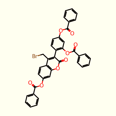 O=C(Oc1ccc(-c2c(CBr)c3ccc(OC(=O)c4ccccc4)cc3oc2=O)c(OC(=O)c2ccccc2)c1)c1ccccc1